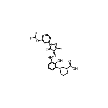 CC1=NN(c2cccc(OC(F)F)c2)C(=O)/C1=N\Nc1cccc(C2CCCC(C(=O)O)C2)c1O